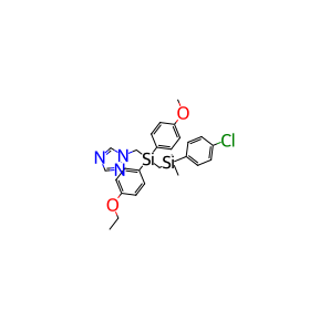 CCOc1ccc([Si](Cn2cncn2)(C[Si](C)(C)c2ccc(Cl)cc2)c2ccc(OC)cc2)cc1